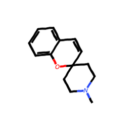 CN1CCC2(C=Cc3ccccc3O2)CC1